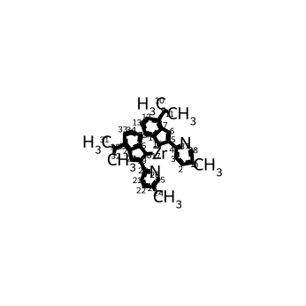 Cc1ccc(C2=Cc3c(C(C)C)cccc3[CH]2[Zr][CH]2C(c3ccc(C)cn3)=Cc3c(C(C)C)cccc32)nc1